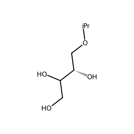 CC(C)OC[C@H](O)C(O)CO